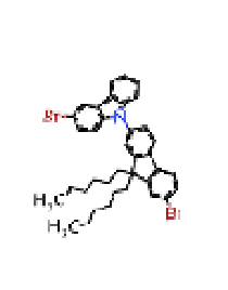 CCCCCCC1(CCCCCC)c2cc(Br)ccc2-c2ccc(-n3c4ccccc4c4cc(Br)ccc43)cc21